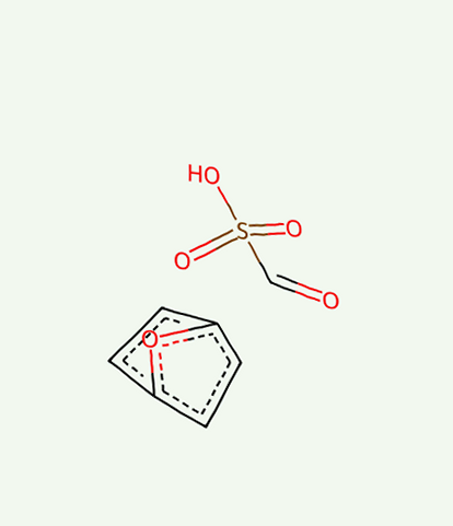 O=CS(=O)(=O)O.c1cc2ccc1o2